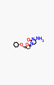 Nc1ccn([C@H]2CC[C@@H](COc3ccccc3)O2)c(=O)n1